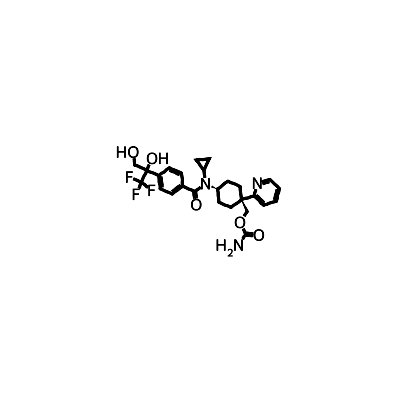 NC(=O)OC[C@]1(c2ccccn2)CC[C@@H](N(C(=O)c2ccc(C(O)(CO)C(F)(F)F)cc2)C2CC2)CC1